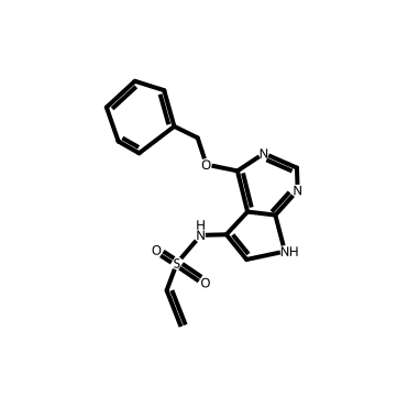 C=CS(=O)(=O)Nc1c[nH]c2ncnc(OCc3ccccc3)c12